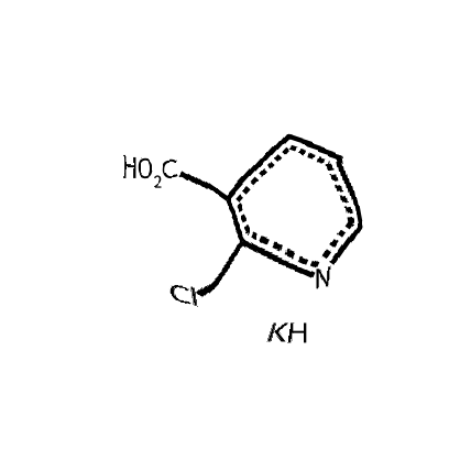 O=C(O)c1cccnc1Cl.[KH]